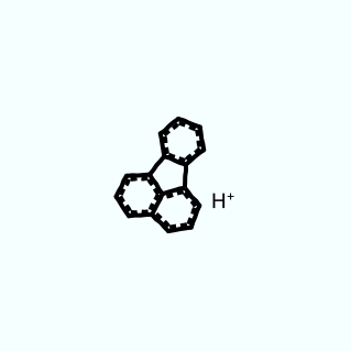 [H+].c1ccc2c(c1)-c1cccc3cccc-2c13